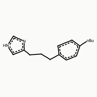 CCCCc1ccc([CH]CCc2c[nH]cn2)cc1